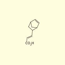 O=C(O)/C=C/C1CC2C=CC1C2